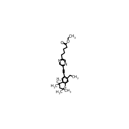 CCOC(=O)CCCCc1cnc(C#Cc2cc3c(cc2CC)SC(C)(C)CC3(C)C)cn1